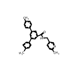 Cc1ccc(-c2cc(C(=O)NCc3ccc(C)nc3)cc(-c3ccc(C)cc3)c2)cc1